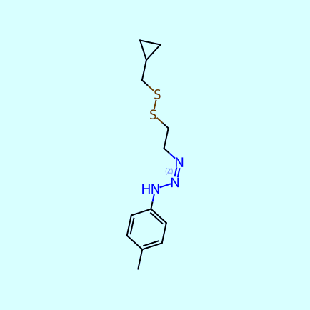 Cc1ccc(N/N=N\CCSSCC2CC2)cc1